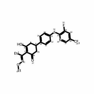 CCON=C(CC)C1=C(O)CC(c2ccc(Sc3ncc(C(F)(F)F)cc3F)cc2)CC1=O